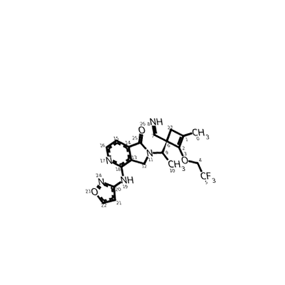 CC1=C(OCC(F)(F)F)[C@@](C=N)(C(C)N2Cc3c(ccnc3Nc3ccon3)C2=O)C1